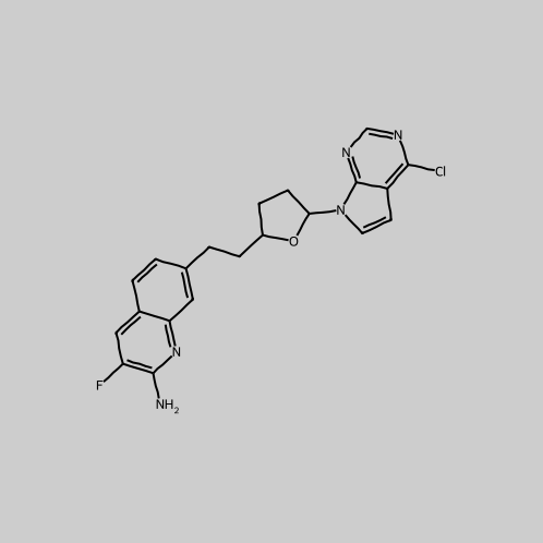 Nc1nc2cc(CCC3CCC(n4ccc5c(Cl)ncnc54)O3)ccc2cc1F